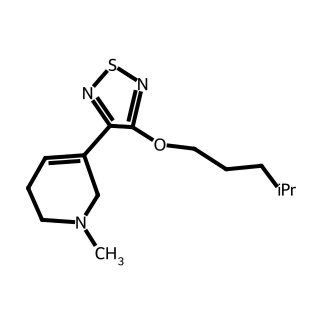 CC(C)CCCOc1nsnc1C1=CCCN(C)C1